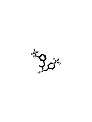 CCCN(CC1CCN(S(C)(=O)=O)CC1)C(C)Cc1cccc(NS(C)(=O)=O)c1